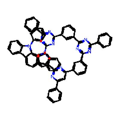 c1ccc(-c2cc(-c3cccc(-c4nc(-c5ccccc5)nc(-c5cccc(-c6nc(-c7ccccc7)nc(-n7c8ccccc8c8ccc9c%10ccccc%10n(-c%10ccccc%10)c9c87)n6)c5)n4)c3)nc(-c3ccccc3)n2)cc1